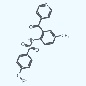 CCOc1ccc(S(=O)(=O)Nc2ccc(C(F)(F)F)cc2C(=O)c2ccncc2)cc1